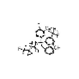 COc1cc([C@@](Cc2ccccc2)(NC(=O)NC2(C(F)(F)F)CC2)c2cc(O)cc(C(F)(F)F)c2)ccc1F